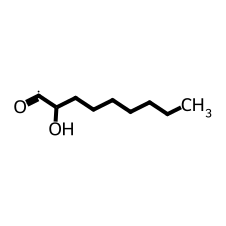 CCCCCCCC(O)[C]=O